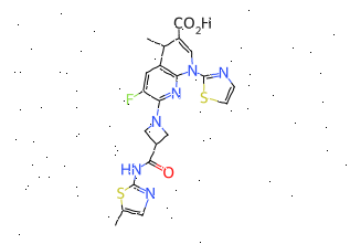 Cc1cnc(NC(=O)C2CN(c3nc4c(cc3F)C(C)C(C(=O)O)=CN4c3nccs3)C2)s1